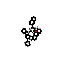 c1ccc2cc(-c3nc(-n4c5ccccc5c5cc6c7ccccc7n7c8ccc9ccccc9c8c(c54)c67)nc4c3oc3ccccc34)ccc2c1